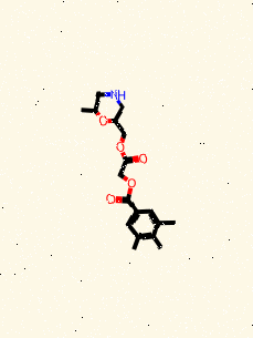 Cc1cc(C(=O)OCC(=O)OCC2CNCC(C)O2)cc(C)c1C